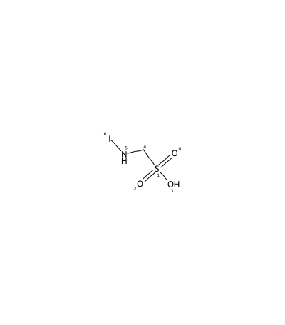 O=S(=O)(O)CNI